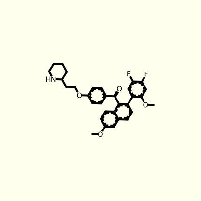 COc1ccc2c(C(=O)c3ccc(OCCC4CCCCN4)cc3)c(-c3cc(F)c(F)cc3OC)ccc2c1